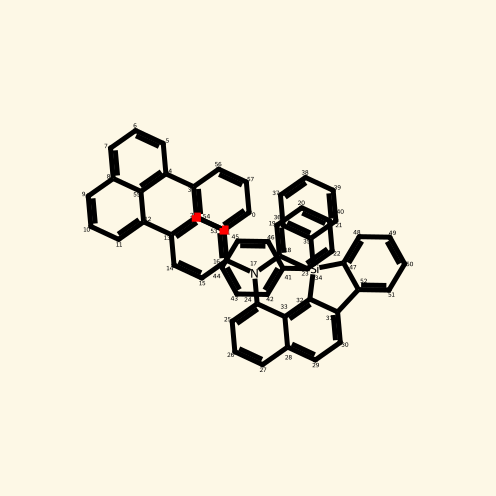 c1ccc(-c2cccc3cccc(-c4ccc(N(c5ccccc5)c5cccc6ccc7c(c56)[Si](c5ccccc5)(c5ccccc5)c5ccccc5-7)cc4)c23)cc1